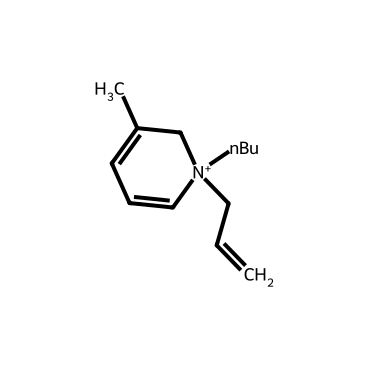 C=CC[N+]1(CCCC)C=CC=C(C)C1